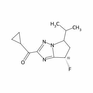 CC(C)C1C[C@H](F)c2nc(C(=O)C3CC3)nn21